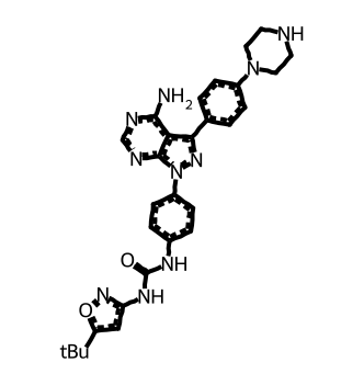 CC(C)(C)c1cc(NC(=O)Nc2ccc(-n3nc(-c4ccc(N5CCNCC5)cc4)c4c(N)ncnc43)cc2)no1